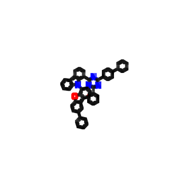 c1ccc(-c2ccc(-c3nc(-c4ccccc4)nc(-c4cccc5c6ccccc6n(-c6cccc7c6oc6ccc(-c8ccccc8)cc67)c45)n3)cc2)cc1